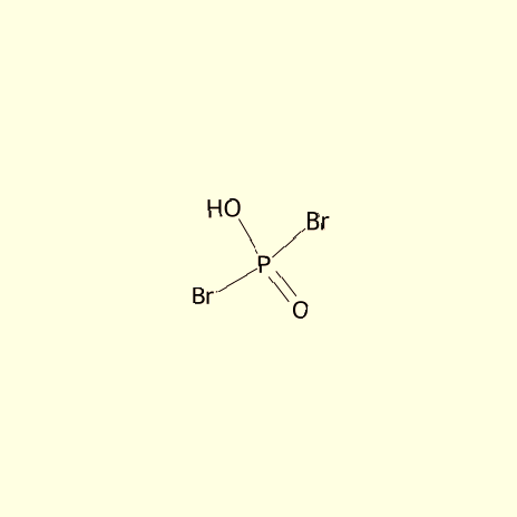 O=P(O)(Br)Br